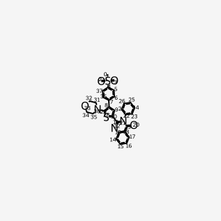 CS(=O)(=O)c1ccc(-c2cc(-c3nc4ccccc4c(=O)n3-c3ccccc3)sc2N2CCOCC2)cc1